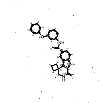 O=C(Nc1cccc(Oc2ccccc2)c1)c1ccc2[nH]c3c(c2c1)C1(CCC1)CNC3=O